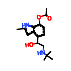 CC(=O)Oc1ccc(C(O)CNC(C)(C)C)c2cc(C)[nH]c12